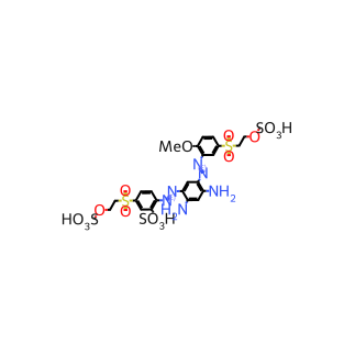 COc1ccc(S(=O)(=O)CCOS(=O)(=O)O)cc1/N=N/c1cc(/N=N/c2ccc(S(=O)(=O)CCOS(=O)(=O)O)cc2S(=O)(=O)O)c(N)cc1N